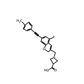 Cc1ccc(C#Cc2cc(F)c3c(c2)OCC(CN2CC(C(=O)O)C2)=C3)cc1